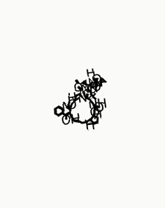 C=C[C@@H]1C[C@]1(NC(=O)[C@@H]1C[C@@H]2CN1C(=O)[C@H](C(C)(C)C)NC(=O)O[C@@H]1CCC[C@H]1CC/C=C/Cc1c(nc3ccccc3c1O)O2)C(=O)NS(=O)(=O)C1(C)CC1